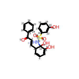 O=C(/C=C/C1C=CC=C(O)C1(O)NS(=O)(=O)c1cccc(O)c1)c1ccccc1